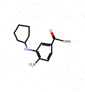 COC(=O)c1ccc([N+](=O)[O-])c(NC2CCCCC2)c1